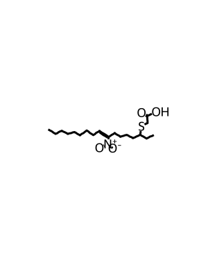 CCCCCCCC/C=C(/CCCCC(CC)SCC(=O)O)[N+](=O)[O-]